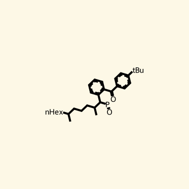 CCCCCCC(C)CCCC(C)C(P=O)c1ccccc1C(=O)c1ccc(C(C)(C)C)cc1